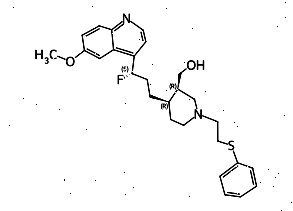 COc1ccc2nccc([C@@H](F)CC[C@@H]3CCN(CCSc4ccccc4)C[C@@H]3CO)c2c1